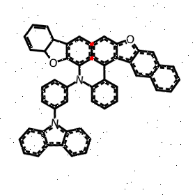 C1=CC2Oc3c(cccc3N(c3cccc(-n4c5ccccc5c5ccccc54)c3)c3ccccc3-c3cccc4oc5cc6ccccc6cc5c34)C2C=C1